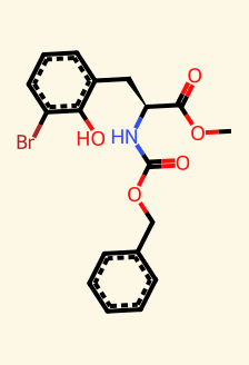 COC(=O)[C@H](Cc1cccc(Br)c1O)NC(=O)OCc1ccccc1